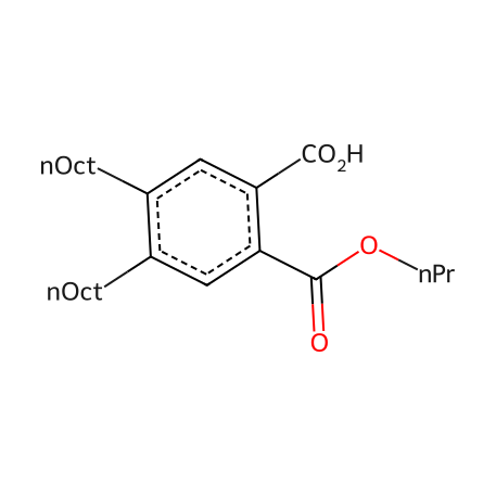 CCCCCCCCc1cc(C(=O)O)c(C(=O)OCCC)cc1CCCCCCCC